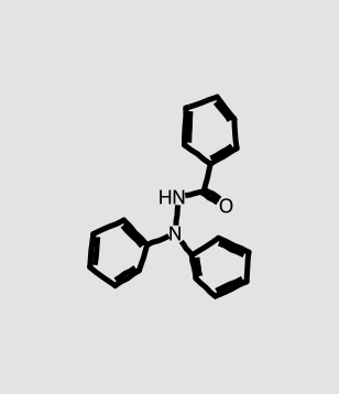 O=C(NN(c1ccccc1)c1ccccc1)c1ccccc1